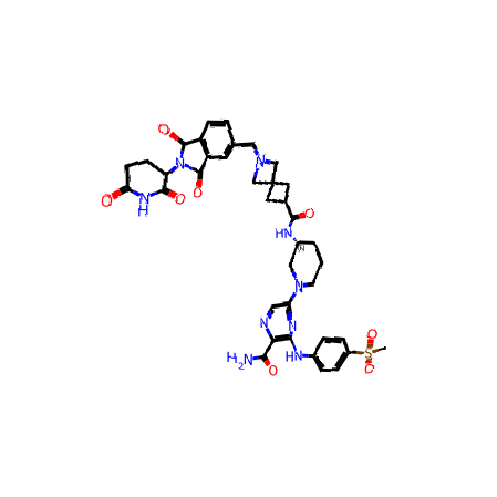 CS(=O)(=O)c1ccc(Nc2nc(N3CCC[C@@H](NC(=O)C4CC5(C4)CN(Cc4ccc6c(c4)C(=O)N(C4CCC(=O)NC4=O)C6=O)C5)C3)cnc2C(N)=O)cc1